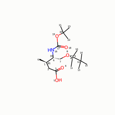 C[C@H](CC(=O)O)[C@@H](CO[Si](C)(C)C(C)(C)C)NC(=O)OC(C)(C)C